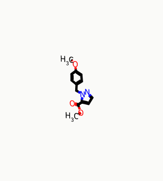 COC(=O)c1ccnn1Cc1ccc(OC)cc1